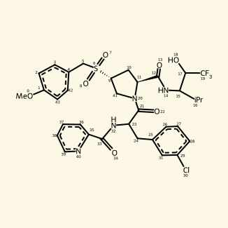 COc1ccc(CS(=O)(=O)[C@@H]2C[C@@H](C(=O)NC(C(C)C)C(O)C(F)(F)F)N(C(=O)C(Cc3cccc(Cl)c3)NC(=O)c3ccccn3)C2)cc1